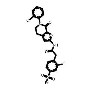 CCS(=O)(=O)c1ccc(CC(=O)Nc2cc3c(s2)C(=O)N(c2ccccc2Cl)CC3)c(F)c1